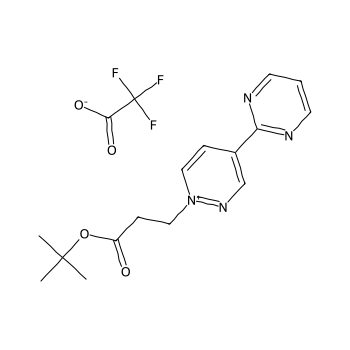 CC(C)(C)OC(=O)CC[n+]1ccc(-c2ncccn2)cn1.O=C([O-])C(F)(F)F